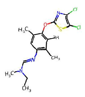 [2H]c1c(C)c(N=CN(C)CC)cc(C)c1Oc1nc(Cl)c(Cl)s1